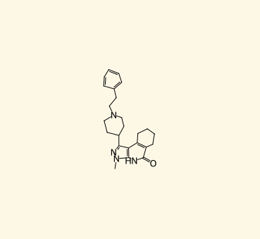 Cn1nc(C2CCN(CCc3ccccc3)CC2)c2c3c(c(=O)[nH]c21)CCCC3